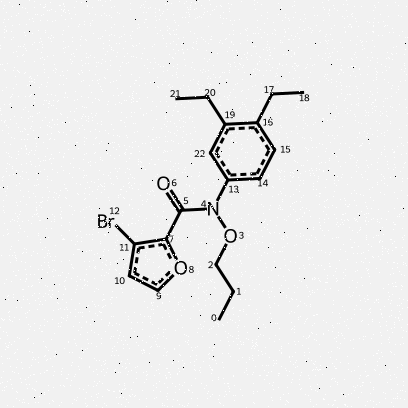 CCCON(C(=O)c1occc1Br)c1ccc(CC)c(CC)c1